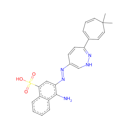 CC1(C)C=CC=C(C2=NNC=C(/N=N/c3cc(S(=O)(=O)O)c4ccccc4c3N)C=C2)C=C1